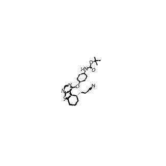 CC(C)(C)OC(=O)N[C@H]1CC[C@@H](Oc2ncnc3sc4c(c23)[C@H](CCC#N)CCC4)CC1